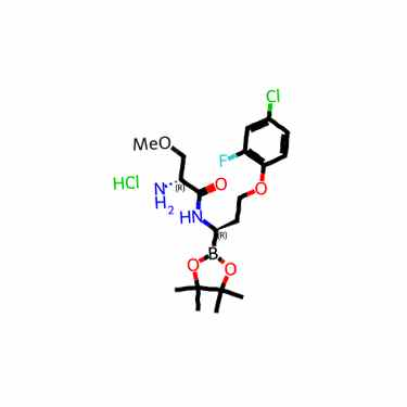 COC[C@@H](N)C(=O)N[C@@H](CCOc1ccc(Cl)cc1F)B1OC(C)(C)C(C)(C)O1.Cl